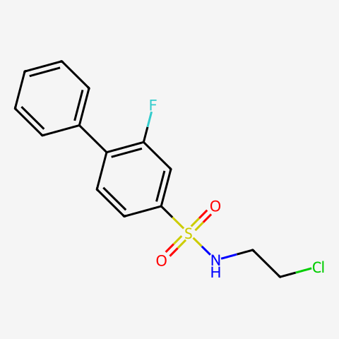 O=S(=O)(NCCCl)c1ccc(-c2ccccc2)c(F)c1